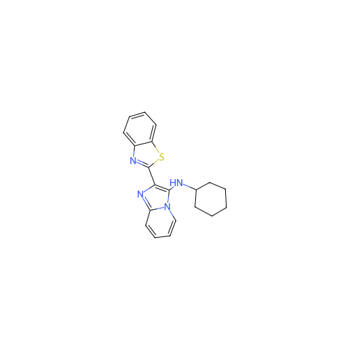 c1ccc2sc(-c3nc4ccccn4c3NC3CCCCC3)nc2c1